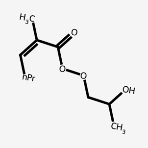 CCCC=C(C)C(=O)OOCC(C)O